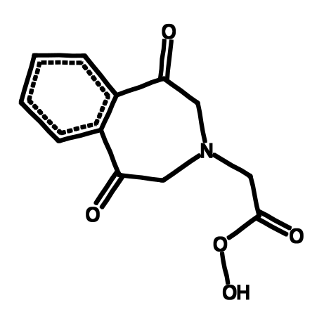 O=C(CN1CC(=O)c2ccccc2C(=O)C1)OO